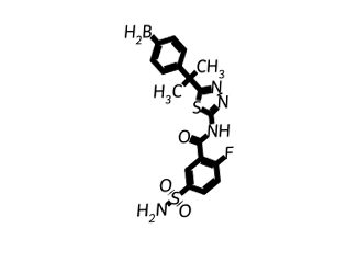 Bc1ccc(C(C)(C)c2nnc(NC(=O)c3cc(S(N)(=O)=O)ccc3F)s2)cc1